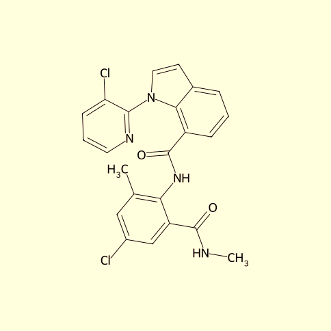 CNC(=O)c1cc(Cl)cc(C)c1NC(=O)c1cccc2ccn(-c3ncccc3Cl)c12